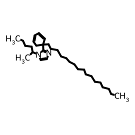 CCCCCCCCCCCCCCCCCC1(c2nccn2C(C)CCCC)C=CC=CC1